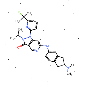 CC(C)n1c(=O)c2cnc(Nc3ccc4c(c3)CC(N(C)C)C4)cc2n1-c1cccc(C(C)(C)F)n1